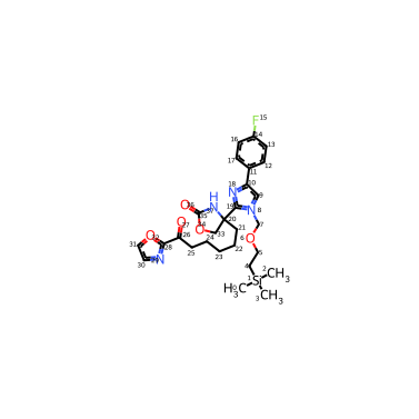 C[Si](C)(C)CCOCn1cc(-c2ccc(F)cc2)nc1C1(CCCCCC(=O)c2ncco2)COC(=O)N1